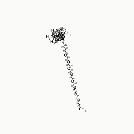 COCCOCCOCCOCCOCCOCCOCCOCCOCCCCCCC[Si](C)(O[Si](C)(C)O[Si](C)(C)C)O[Si](C)(C)O[Si](C)(C)C